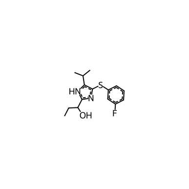 CCC(O)c1nc(Sc2cccc(F)c2)c(C(C)C)[nH]1